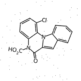 O=C(O)n1c(=O)c2cc3ccccc3n2c2c(Cl)cccc21